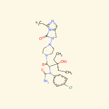 CCC(O)(CC)C(C(=O)N1CCN(N2Cc3cnc(C)n3C2=O)CC1)N(C(N)=O)c1ccc(Cl)cc1